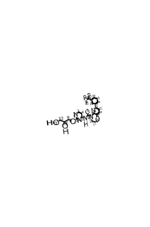 O=C(Nc1ccnc(OC[C@H](O)CO)n1)N1CCOc2ccc(-c3cccc(C(F)(F)F)c3)nc21